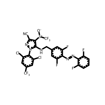 N#Cc1nn(-c2c(Cl)cc(C(F)(F)F)cc2Cl)c(NCc2cc(F)c(N=Nc3c(F)cccc3F)c(F)c2)c1[S+]([O-])C(F)(F)F